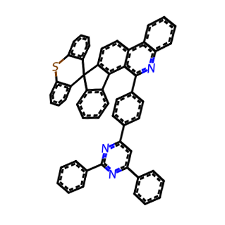 c1ccc(-c2cc(-c3ccc(-c4nc5ccccc5c5ccc6c(c45)-c4ccccc4C64c5ccccc5Sc5ccccc54)cc3)nc(-c3ccccc3)n2)cc1